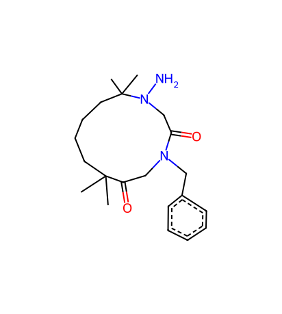 CC1(C)CCCCC(C)(C)N(N)CC(=O)N(Cc2ccccc2)CC1=O